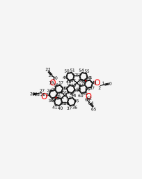 C#CCOc1ccc2c(C3(c4ccc(C5(c6ccc(OCC#C)c7cc(OCC#C)ccc67)c6ccccc6-c6ccccc65)cc4)c4ccccc4-c4ccccc43)ccc(OCC#C)c2c1